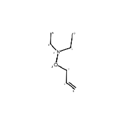 C=CCON(CC)CC